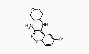 Nc1nnc2ccc(Br)cc2c1NC1CCOCC1